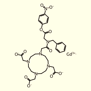 O=C([O-])CN1CCN(CC(=O)[O-])CCN(CC(=O)N(CC(=O)Oc2ccc([N+](=O)[O-])cc2)Cc2ccccc2)CCN(CC(=O)[O-])CC1.[Gd+3]